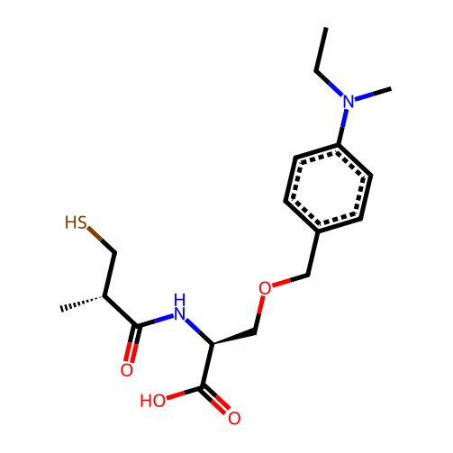 CCN(C)c1ccc(COC[C@H](NC(=O)[C@H](C)CS)C(=O)O)cc1